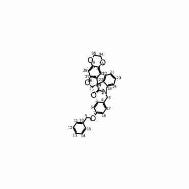 O=C1N(Cc2ccc(OCc3ccccc3)cc2)c2ccccc2[C@]12COc1cc3c(cc12)OCCO3